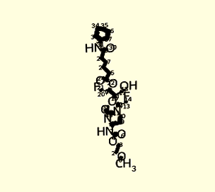 COCCOC(=O)Nc1ccn([C@@H](CF)O[C@H](CO)[C@H](CF)OC(=O)CCCCC(=O)Nc2ccccc2)c(=O)n1